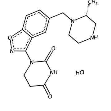 C[C@@H]1CNCCN1Cc1ccc2onc(N3CCC(=O)NC3=O)c2c1.Cl